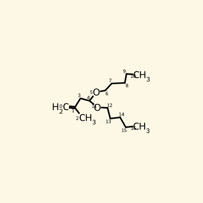 C=C(C)CC(OCCCCC)OCCCCC